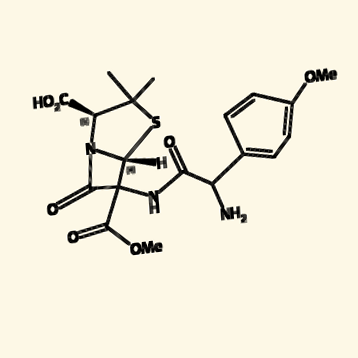 COC(=O)C1(NC(=O)C(N)c2ccc(OC)cc2)C(=O)N2[C@@H](C(=O)O)C(C)(C)S[C@@H]21